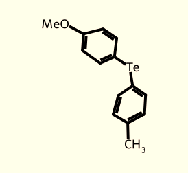 COc1ccc([Te]c2ccc(C)cc2)cc1